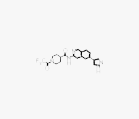 O=C(Nc1cc2cc(-c3cn[nH]c3)ccc2cn1)C1CCN(C(=O)C(F)(F)F)CC1